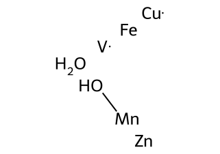 O.[Cu].[Fe].[OH][Mn].[V].[Zn]